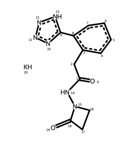 O=C(Cc1ccccc1-c1nnn[nH]1)NN1CCC1=O.[KH]